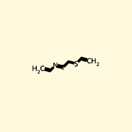 C=C/N=I/CSC=C